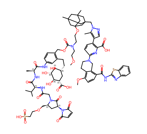 COCCN(CCOC12CC3(C)CC(C)(CC(Cn4ncc(-c5ccc(N6CCc7c(OC)ccc(C(=O)Nc8nc9ccccc9s8)c7C6)nc5C(=O)O)c4C)(C3)C1)C2)C(=O)OCc1ccc(NC(=O)[C@H](C)NC(=O)[C@@H](NC(=O)CN2C(=O)[C@@H](N3C(=O)C=CC3=O)C[C@H]2COCCS(=O)(=O)O)C(C)C)cc1CC[C@@H]1C[C@H](C(=O)O)[C@@H](O)[C@H](O)[C@H]1O